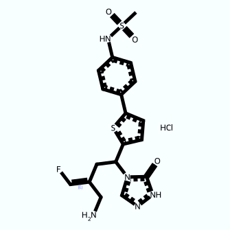 CS(=O)(=O)Nc1ccc(-c2ccc(C(C/C(=C\F)CN)n3cn[nH]c3=O)s2)cc1.Cl